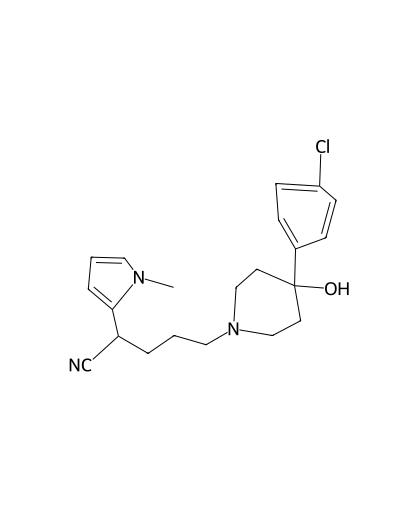 Cn1cccc1C(C#N)CCCN1CCC(O)(c2ccc(Cl)cc2)CC1